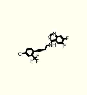 Fc1cc2ncnc(NCCC#Cc3ccc(Cl)cc3C(F)(F)F)c2cc1F